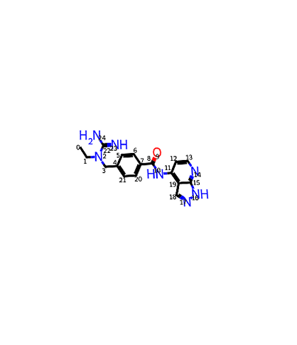 CCN(Cc1ccc(C(=O)Nc2ccnc3[nH]ncc23)cc1)C(=N)N